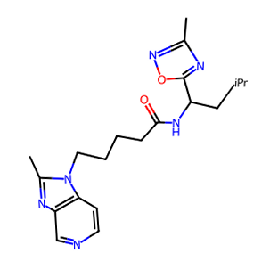 Cc1noc(C(CC(C)C)NC(=O)CCCCn2c(C)nc3cnccc32)n1